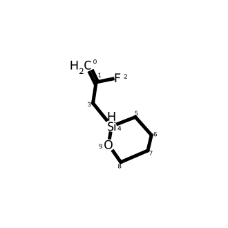 C=C(F)C[SiH]1CCCCO1